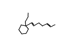 CC=CCCC=CC1(CCC)CCCCC1